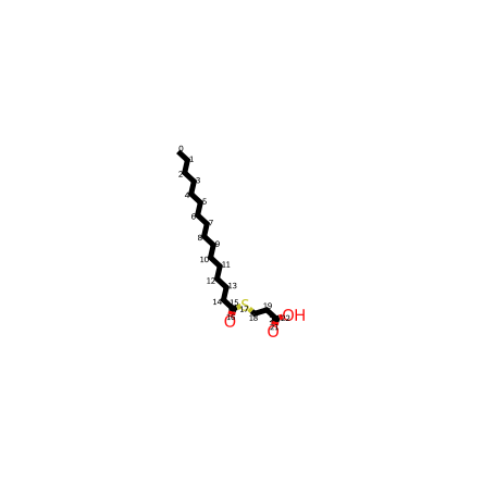 CCCCCCCCCCCCCCCC(=O)SCCC(=O)O